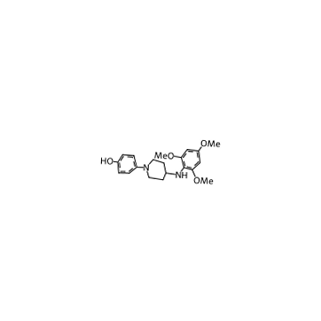 COc1cc(OC)c(NC2CCN(c3ccc(O)cc3)CC2)c(OC)c1